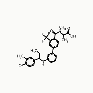 CCC(Nc1cccc(-c2ccc(C(=O)N(C)C(C)C(=O)O)c(C(F)(F)F)c2)c1)c1ccc(Cl)c(C)c1